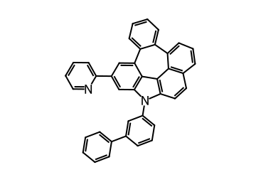 c1ccc(-c2cccc(-n3c4cc(-c5ccccn5)cc5c4c4c6c(cccc6ccc43)-c3ccccc3-5)c2)cc1